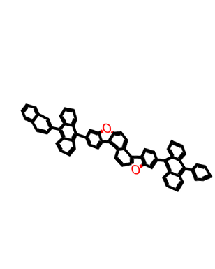 c1ccc(-c2c3ccccc3c(-c3ccc4c(c3)oc3ccc5c(ccc6oc7cc(-c8c9ccccc9c(-c9ccc%10ccccc%10c9)c9ccccc89)ccc7c65)c34)c3ccccc23)cc1